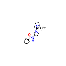 CCOC(=O)N1C2CCC1CC(N1CCC(NC(=O)c3ccccc3)C1)C2